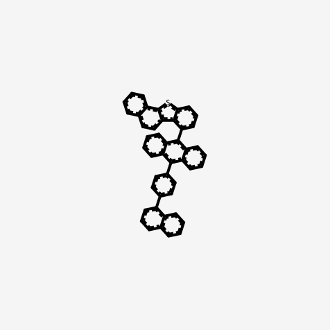 c1ccc2c(-c3ccc(-c4c5ccccc5c(-c5cccc6sc7c8ccccc8ccc7c56)c5ccccc45)cc3)cccc2c1